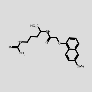 COc1ccc2c(OCC(=O)NC(CCCNC(=N)N)C(=O)O)cccc2c1